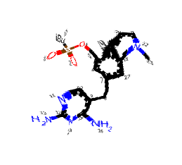 CCC(C)S(=O)(=O)Oc1cc(Cc2cnc(N)nc2N)cc2c1ccn2C